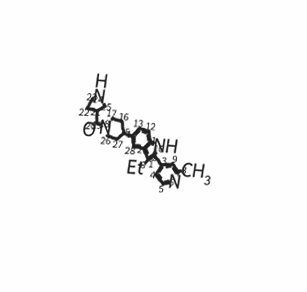 CCc1c(-c2ccnc(C)c2)[nH]c2ccc(C3CCN(C(=O)C4CCNC4)CC3)cc12